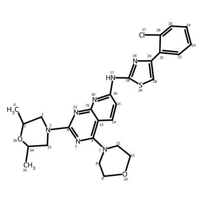 CC1CN(c2nc(N3CCOCC3)c3ccc(Nc4nc(-c5ccccc5Cl)cs4)nc3n2)CC(C)O1